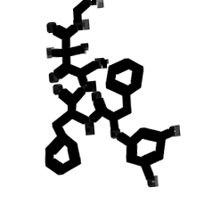 CC(C)C(NC(=O)C(Cc1ccccc1)NC(=O)C(Cc1ccccc1)Oc1cc(Cl)cc(Cl)c1)C(=O)C(F)(F)C(=O)NCC(F)(F)F